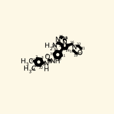 Cc1ccc(NC(=O)Nc2ccc(-c3cc(CN4CCOCC4)n4ncnc(N)c34)cc2)cc1C